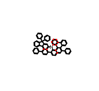 c1ccc(-c2ccc(-c3ccccc3N(c3ccc4c(c3)C(c3ccccc3)(c3ccccc3)c3ccccc3-4)c3ccccc3-c3cccc(-c4ccccc4)c3-c3ccccc3-c3ccccc3)cc2)cc1